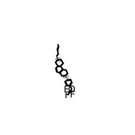 CC=CCC[C@H]1CCc2c(ccc3c2CC[C@H](c2ccc(OC(F)(F)F)cc2)C3)C1